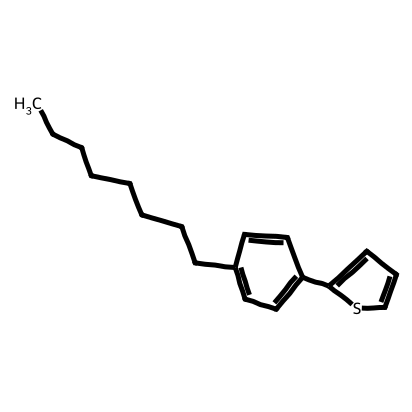 CCCCCCCCc1ccc(-c2cccs2)cc1